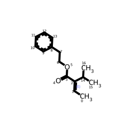 C/C=C(/C(=O)OCCc1ccccc1)C(C)C